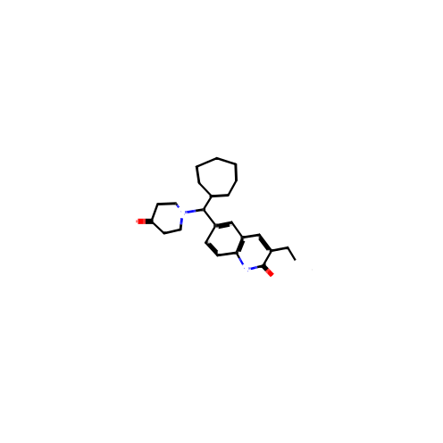 CCc1cc2cc(C(C3CCCCCC3)N3CCC(=O)CC3)ccc2[nH]c1=O